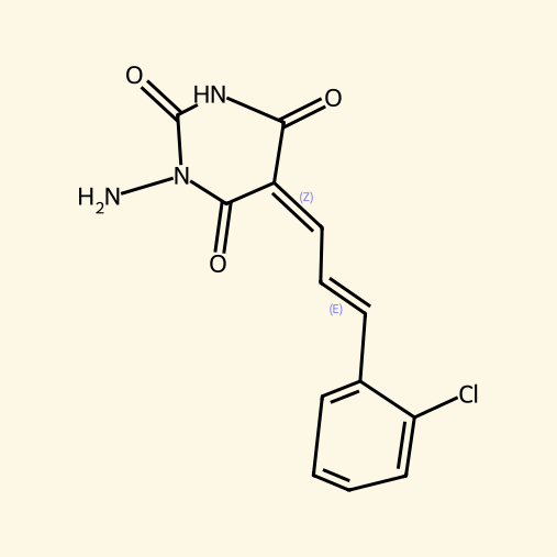 NN1C(=O)NC(=O)/C(=C/C=C/c2ccccc2Cl)C1=O